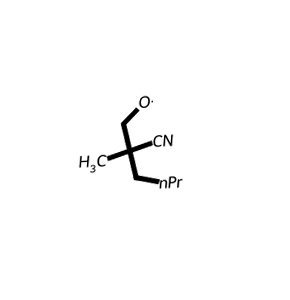 CCCCC(C)(C#N)C[O]